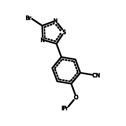 CC(C)Oc1ccc(-c2nc(Br)ns2)cc1C#N